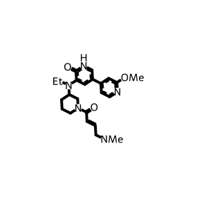 CCN(c1cc(-c2ccnc(OC)c2)c[nH]c1=O)C1CCCN(C(=O)/C=C/CNC)C1